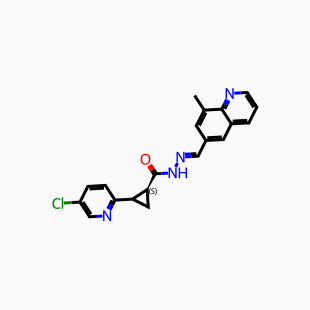 Cc1cc(C=NNC(=O)[C@H]2CC2c2ccc(Cl)cn2)cc2cccnc12